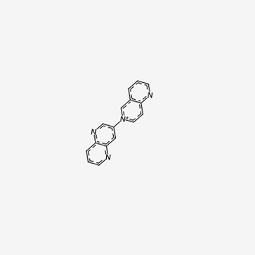 c1cnc2cc[n+](-c3cnc4cccnc4c3)cc2c1